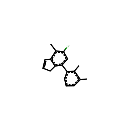 Cc1cccc(-c2cc(Br)c(C)c3c2CC=C3)c1C